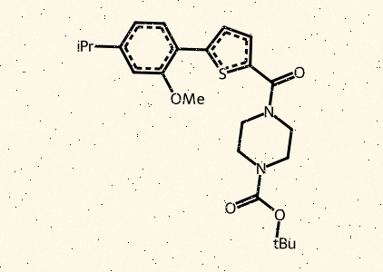 COc1cc(C(C)C)ccc1-c1ccc(C(=O)N2CCN(C(=O)OC(C)(C)C)CC2)s1